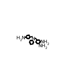 Nc1ccc(CN(Cc2ccc(N)c(N)c2)c2ccccc2)cc1